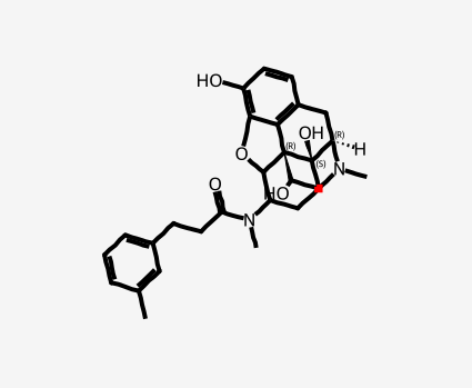 Cc1cccc(CCC(=O)N(C)C2CC[C@@]3(O)[C@H]4Cc5ccc(O)c6c5[C@@]3(C(O)CN4C)C2O6)c1